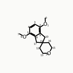 COc1ccc(OC)c2c1CC1(CCOCC1)C2